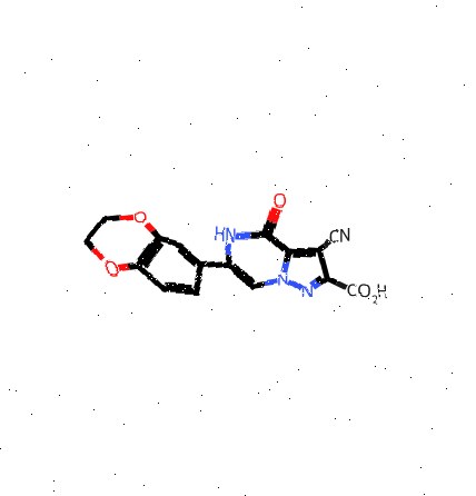 N#Cc1c(C(=O)O)nn2cc(-c3ccc4c(c3)OCCO4)[nH]c(=O)c12